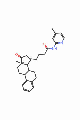 Cc1ccnc(NC(=O)CCC[C@@H]2CC(=O)[C@@]3(C)CCC4c5ccccc5CCC4C23)c1